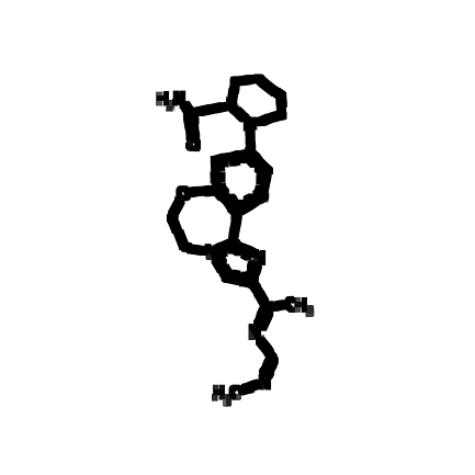 C/N=C\N=C(/C)c1cn2c(n1)-c1ccc(N3CCCCC3C(N)=O)cc1OCC2